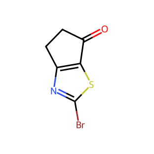 O=C1CCc2nc(Br)sc21